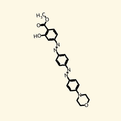 COC(=O)c1ccc(/N=N/c2ccc(/N=N/c3ccc(N4CCOCC4)cc3)cc2)cc1O